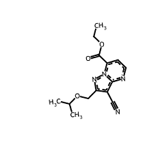 CCOC(=O)c1ccnc2c(C#N)c(COC(C)C)nn12